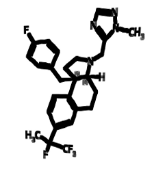 Cn1ncnc1CN1CC[C@@]2(Cc3ccc(F)cc3)c3ccc(C(C)(F)C(F)(F)F)cc3CC[C@@H]12